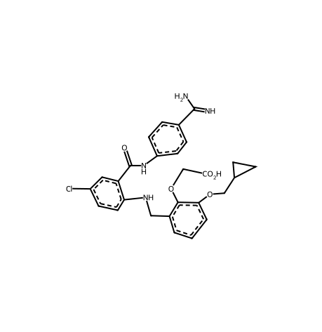 N=C(N)c1ccc(NC(=O)c2cc(Cl)ccc2NCc2cccc(OCC3CC3)c2OCC(=O)O)cc1